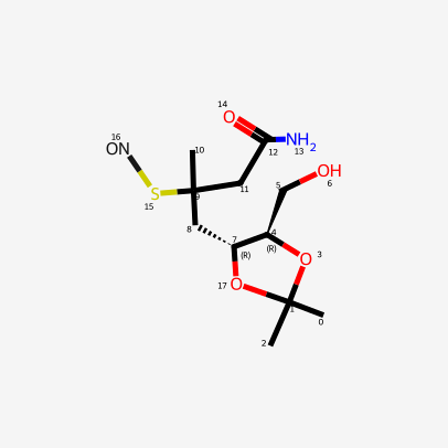 CC1(C)O[C@H](CO)[C@@H](CC(C)(CC(N)=O)SN=O)O1